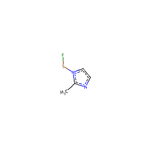 Cc1nccn1SF